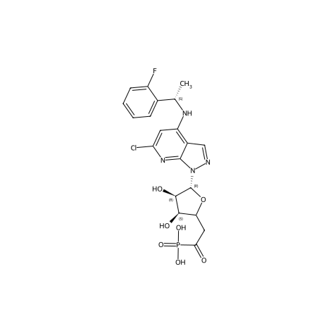 C[C@H](Nc1cc(Cl)nc2c1cnn2[C@@H]1OC(CC(=O)P(=O)(O)O)[C@@H](O)[C@H]1O)c1ccccc1F